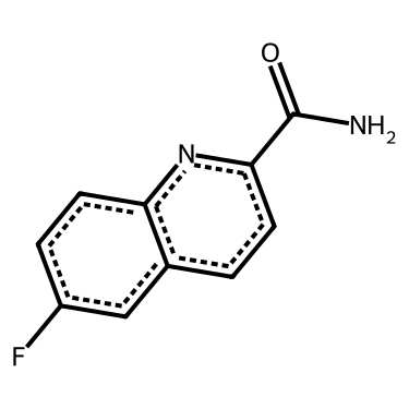 NC(=O)c1ccc2cc(F)ccc2n1